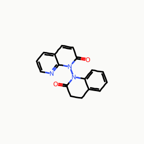 O=C1CCc2ccccc2N1n1c(=O)ccc2cccnc21